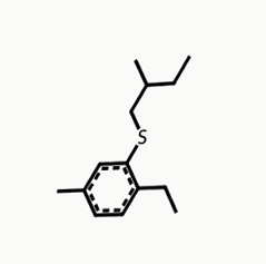 CCc1ccc(C)cc1SCC(C)CC